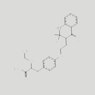 CCOC(Cc1ccc(OCCC2C(=O)c3ccccc3NC2(C)C)cc1)C(=O)O